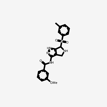 COc1cccc(C(=O)Nc2n[nH]c3c2CNC3S(=O)(=O)c2cccc(C)c2)c1